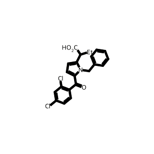 CCC(C(=O)O)c1ccc(C(=O)c2ccc(Cl)cc2Cl)n1Cc1ccccc1